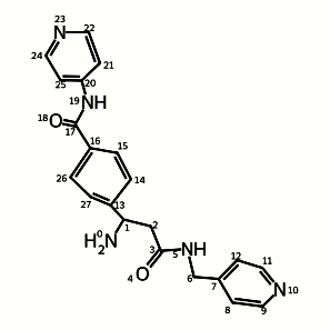 NC(CC(=O)NCc1ccncc1)c1ccc(C(=O)Nc2ccncc2)cc1